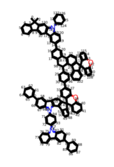 CC1(C)c2ccccc2-c2cc3c4cc(-c5ccc6c(c5)-c5ccc7c(c5C(c5ccc(-c8ccc9c(c8)Oc8ccccc8C98c9ccccc9-c9c8ccc8c%10cc(-c%11ccccc%11)ccc%10n(-c%10ccc(-n%11c%12ccccc%12c%12cc(-c%13ccccc%13)ccc%12%11)cc%10)c98)cc5)C6)-c5ccccc5C75c6ccccc6Oc6ccccc65)ccc4n(-c4ccccc4)c3cc21